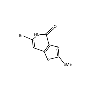 CSc1nc2c(=O)[nH]c(Br)cc2s1